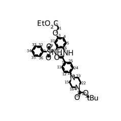 CCOC(=O)COc1ccc(NC(=O)c2ccc(N3CCN(C(=O)OC(C)(C)C)CC3)cc2)c(NS(=O)(=O)c2ccccc2)c1